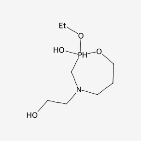 CCO[PH]1(O)CN(CCO)CCCO1